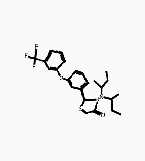 CCC(C)N(C(C)CC)N1C(=O)CSC1c1cccc(Oc2cccc(C(F)(F)F)c2)c1